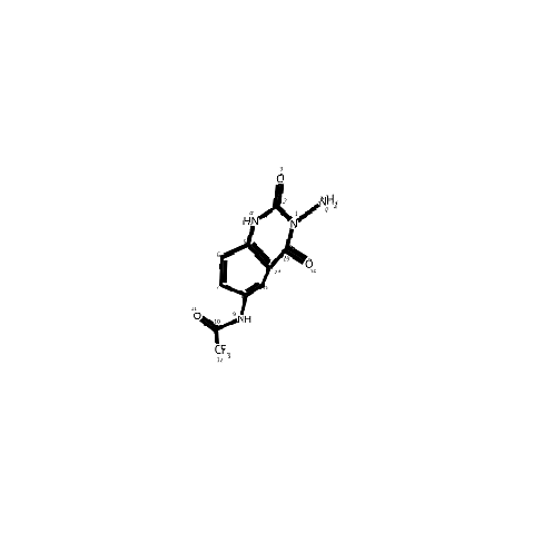 Nn1c(=O)[nH]c2ccc(NC(=O)C(F)(F)F)cc2c1=O